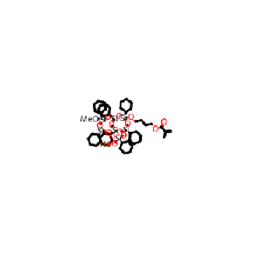 C=C(C)C(=O)OCCCCO[Si]1(C2CCCCC2)O[Si]2(C3CCCCC3)O[Si](OC)(C3CCCCC3)O[Si]3(C4CCCCC4)O[Si](OS)(C4CCCCC4)O[Si](C4CCCCC4)(O1)O[Si](C1CCCCC1)(O3)O2